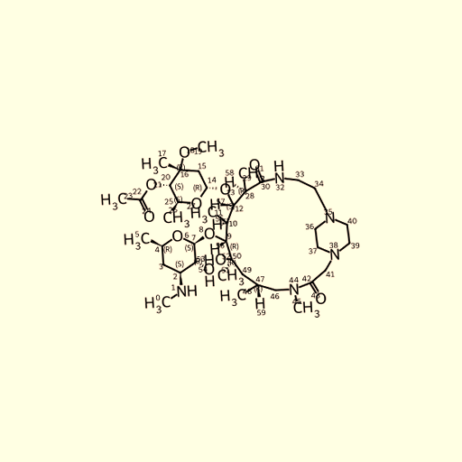 CN[C@H]1C[C@@H](C)O[C@@H](O[C@@H]2[C@@H](C)[C@H](O[C@H]3C[C@@](C)(OC)[C@@H](OC(C)=O)[C@H](C)O3)[C@@H](C)C(=O)NCCN3CCN(CC3)CC(=O)N(C)C[C@H](C)C[C@@]2(C)O)[C@@H]1O